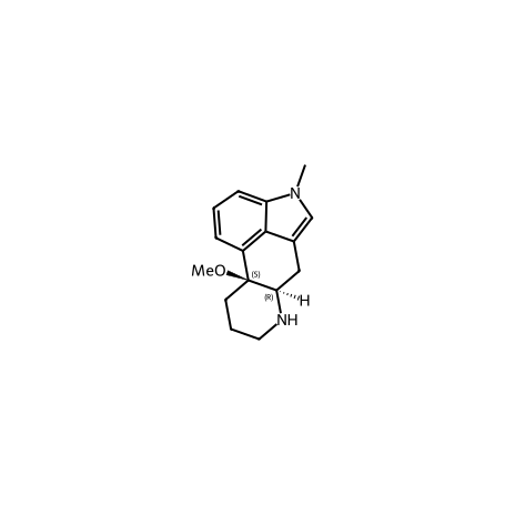 CO[C@]12CCCN[C@@H]1Cc1cn(C)c3cccc2c13